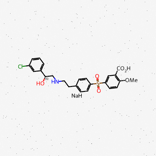 COc1ccc(S(=O)(=O)c2ccc(CCNC[C@@H](O)c3cccc(Cl)c3)cc2)cc1C(=O)O.[NaH]